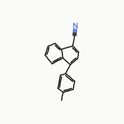 Cc1ccc(-c2ccc(C#N)c3ccccc23)cc1